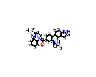 CNc1cc(C(=O)N2CCC(C)Nc3ccccc32)ccc1-c1ccc2c(c1)CCN2